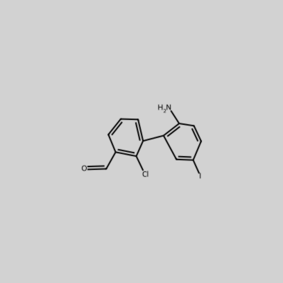 Nc1ccc(I)cc1-c1cccc(C=O)c1Cl